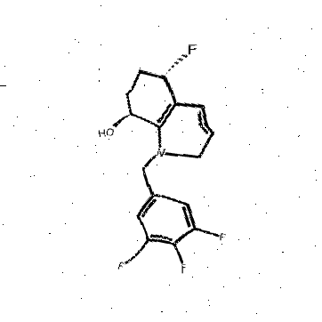 O[C@H]1CC[C@H](F)C2=C1N(Cc1cc(F)c(F)c(F)c1)CC=C2